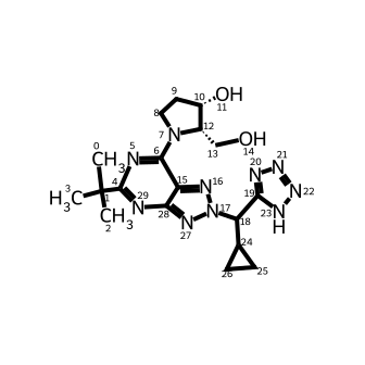 CC(C)(C)c1nc(N2CC[C@H](O)[C@@H]2CO)c2nn(C(c3nnn[nH]3)C3CC3)nc2n1